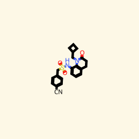 N#Cc1ccc(CS(=O)(=O)Nc2cccc3c2N(CC2CCC2)C(=O)CC3)cc1